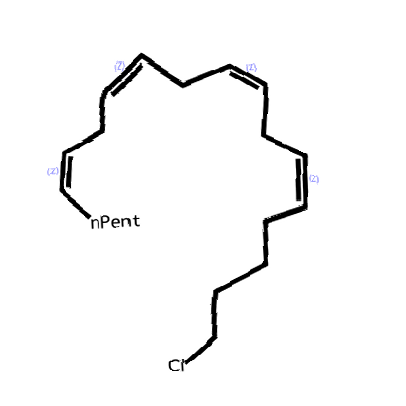 CCCCC/C=C\C/C=C\C/C=C\C/C=C\CCCCCl